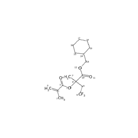 C=C(C)C(=O)OC(C)(CC(F)(F)F)C(=O)OCC1CCCCC1